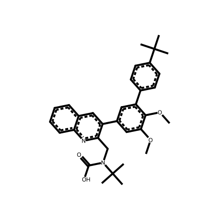 COc1cc(-c2cc3ccccc3nc2CN(C(=O)O)C(C)(C)C)cc(-c2ccc(C(C)(C)C)cc2)c1OC